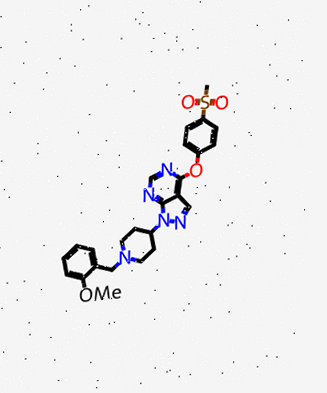 COc1ccccc1CN1CCC(n2ncc3c(Oc4ccc(S(C)(=O)=O)cc4)ncnc32)CC1